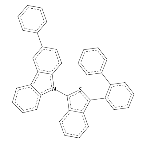 c1ccc(-c2ccc3c(c2)c2ccccc2n3-c2sc(-c3ccccc3-c3ccccc3)c3ccccc23)cc1